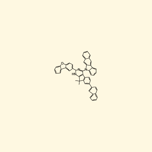 CC1(C)C2=C(C(n3c4ccccc4c4cc5ccccc5cc43)=NC(c3ccc4oc5ccccc5c4c3)N2)c2ccc(-c3ccc4ccccc4c3)cc21